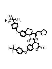 CC(C)(C)c1ccc(Oc2ccc3c(c2)CCN(C(=O)CC2CCCC2)C3C(=O)NC(CC(=O)O)c2ccc(Oc3ccc(C(F)(F)F)cc3)cc2)cc1